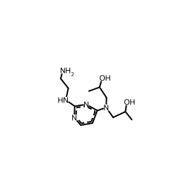 CC(O)CN(CC(C)O)c1ccnc(NCCN)n1